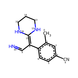 Cc1cc(C#N)ccc1C(C=N)=C1NCCCN1